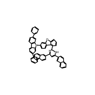 C1=C(c2ccc3ccccc3c2)NC(c2cccc3oc4cc(-n5c6cc(-c7ccccc7)ccc6c6ccc(-c7ccccc7)cc65)ccc4c23)N=C1c1ccc2ccccc2c1